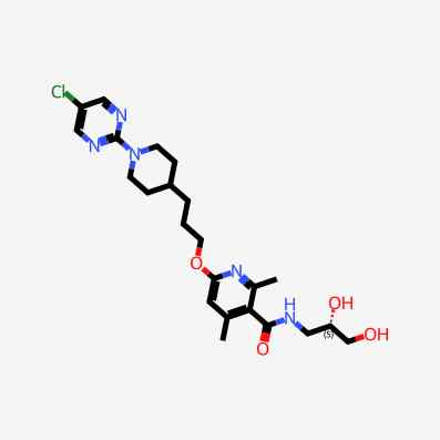 Cc1cc(OCCCC2CCN(c3ncc(Cl)cn3)CC2)nc(C)c1C(=O)NC[C@H](O)CO